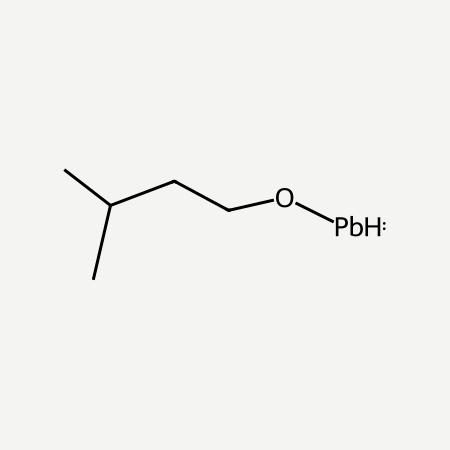 CC(C)CC[O][PbH]